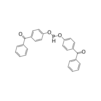 O=C(c1ccccc1)c1ccc(OPOc2ccc(C(=O)c3ccccc3)cc2)cc1